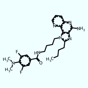 CCCCc1nc2c(N)nc3cccnc3c2n1CCCCNC(=O)c1cc(F)c(N(C)C)c(F)c1